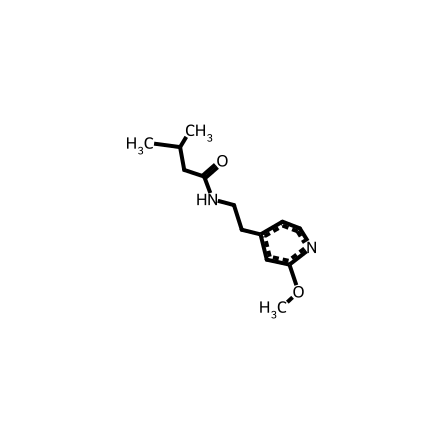 COc1cc(CCNC(=O)CC(C)C)ccn1